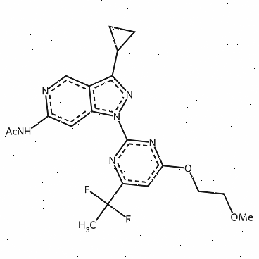 COCCOc1cc(C(C)(F)F)nc(-n2nc(C3CC3)c3cnc(NC(C)=O)cc32)n1